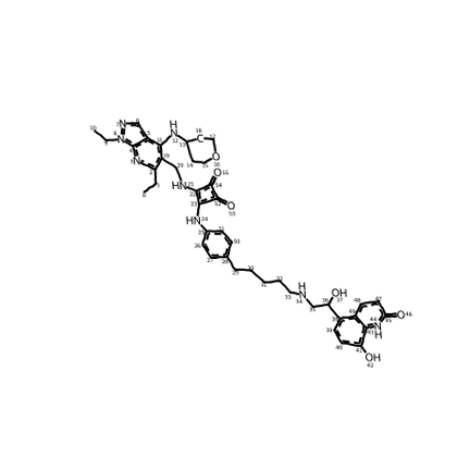 CCc1nc2c(cnn2CC)c(NC2CCOCC2)c1CNc1c(Nc2ccc(CCCCCNCC(O)c3ccc(O)c4[nH]c(=O)ccc34)cc2)c(=O)c1=O